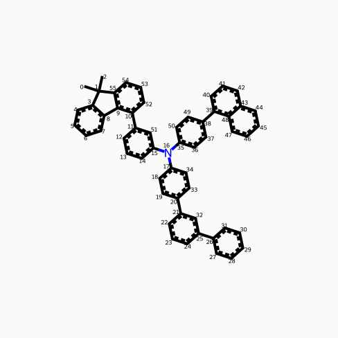 CC1(C)c2ccccc2-c2c(-c3cccc(N(c4ccc(-c5cccc(-c6ccccc6)c5)cc4)c4ccc(-c5cccc6ccccc56)cc4)c3)cccc21